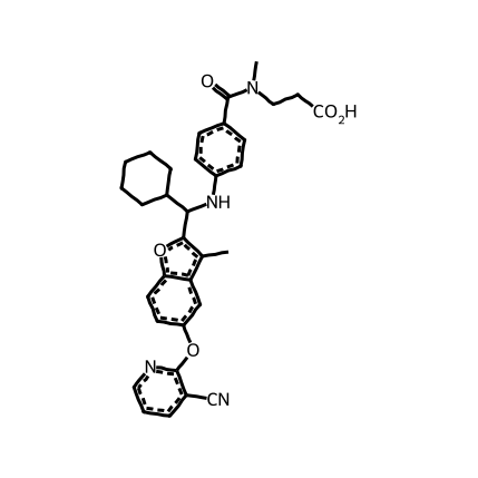 Cc1c(C(Nc2ccc(C(=O)N(C)CCC(=O)O)cc2)C2CCCCC2)oc2ccc(Oc3ncccc3C#N)cc12